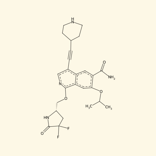 CC(C)Oc1cc2c(OC[C@@H]3CC(F)(F)C(=O)N3)ncc(C#CC3CCNCC3)c2cc1C(N)=O